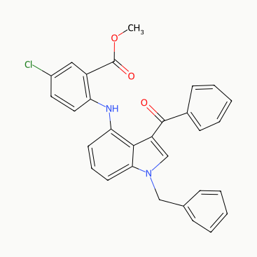 COC(=O)c1cc(Cl)ccc1Nc1cccc2c1c(C(=O)c1ccccc1)cn2Cc1ccccc1